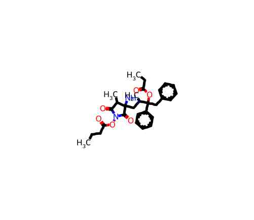 CCCC(=O)ON1C(=O)C(C)C(N)(CC(C)C(Cc2ccccc2)(OC(=O)CC)c2ccccc2)C1=O